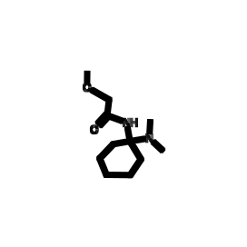 COCC(=O)NC1(N(C)C)CCCCC1